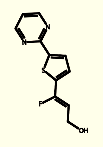 OC/C=C(\F)c1ccc(-c2ncccn2)s1